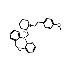 COc1ccc(CCN2CCCC[C@@H]2CN2c3ccccc3COc3ccccc32)cc1